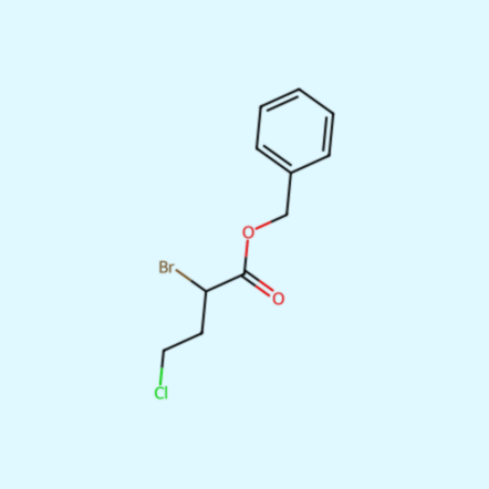 O=C(OCc1ccccc1)C(Br)CCCl